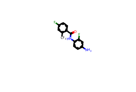 Nc1ccc(NC(=O)c2ccc(F)cc2C(F)(F)F)c(F)c1